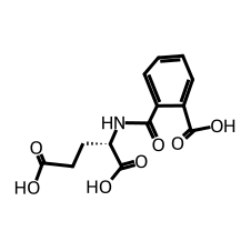 O=C(O)CC[C@H](NC(=O)c1ccccc1C(=O)O)C(=O)O